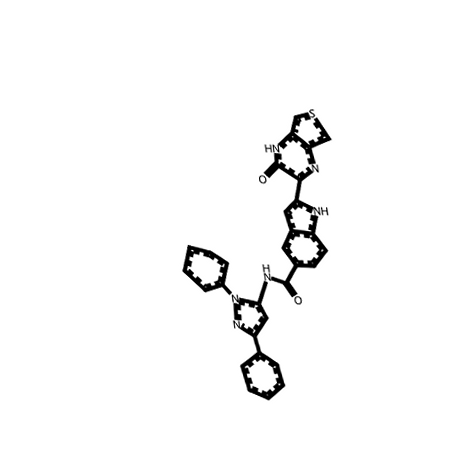 O=C(Nc1cc(-c2ccccc2)nn1-c1ccccc1)c1ccc2[nH]c(-c3nc4cscc4[nH]c3=O)cc2c1